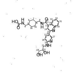 O=C(O)NCC1CCC(CNC(=O)c2cc(-c3ccc(NCC(O)CO)nc3)nc3ccccc23)CC1